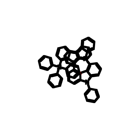 c1ccc(-n2c3cccc(-n4c5ccccc5c5ccccc54)c3c3c(-n4c5ccccc5c5cccc([Si](c6ccccc6)(c6ccccc6)c6ccccc6)c54)cccc32)cc1